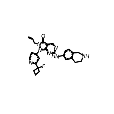 C=CCn1c(=O)c2cnc(Nc3ccc4c(c3)CCNC4)nc2n1-c1ccnc(C2(F)CCC2)c1